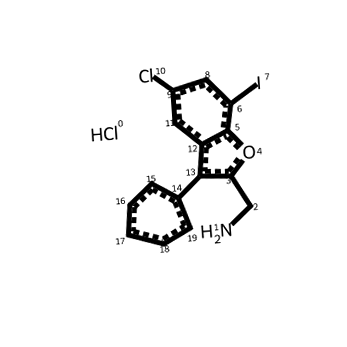 Cl.NCc1oc2c(I)cc(Cl)cc2c1-c1ccccc1